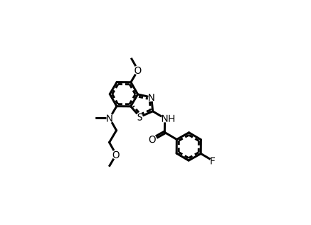 COCCN(C)c1ccc(OC)c2nc(NC(=O)c3ccc(F)cc3)sc12